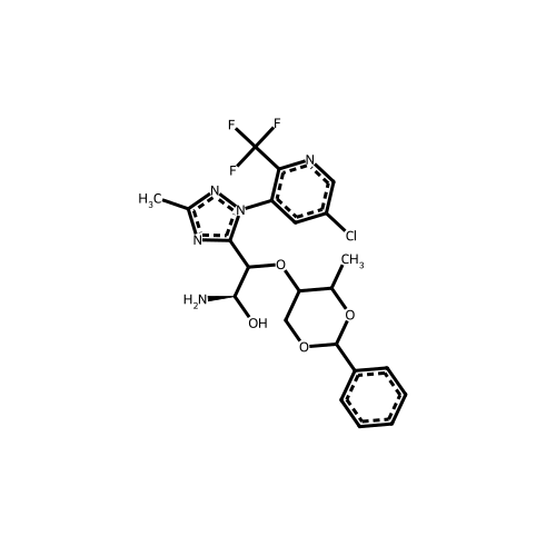 Cc1nc(C(OC2COC(c3ccccc3)OC2C)[C@H](N)O)n(-c2cc(Cl)cnc2C(F)(F)F)n1